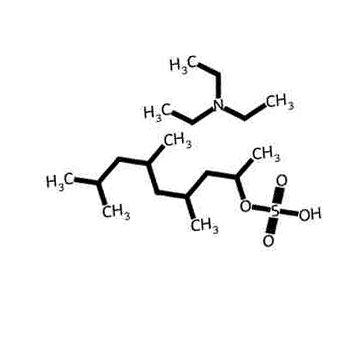 CC(C)CC(C)CC(C)CC(C)OS(=O)(=O)O.CCN(CC)CC